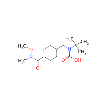 CON(C)C(=O)C1CCC(CN(C(=O)O)C(C)(C)C)CC1